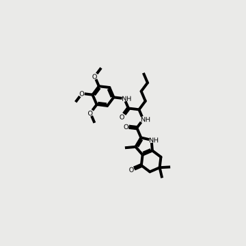 CCCCC(NC(=O)c1[nH]c2c(c1C)C(=O)CC(C)(C)C2)C(=O)Nc1cc(OC)c(OC)c(OC)c1